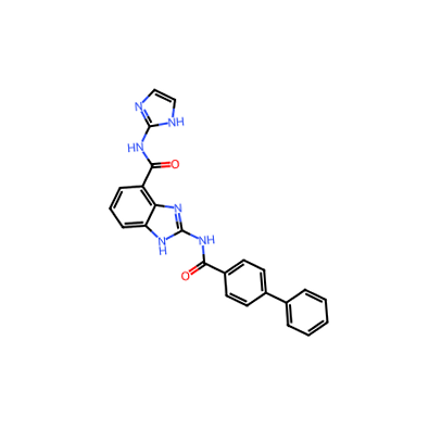 O=C(Nc1nc2c(C(=O)Nc3ncc[nH]3)cccc2[nH]1)c1ccc(-c2ccccc2)cc1